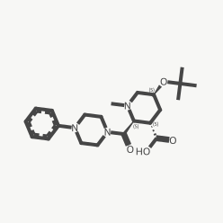 CN1C[C@@H](OC(C)(C)C)C[C@H](C(=O)O)[C@H]1C(=O)N1CCN(c2ccccc2)CC1